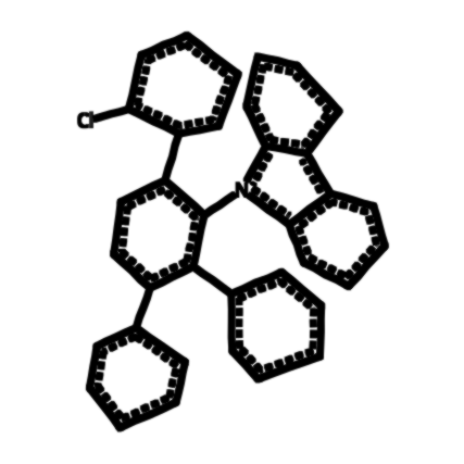 Clc1ccccc1-c1ccc(-c2ccccc2)c(-c2ccccc2)c1-n1c2ccccc2c2ccccc21